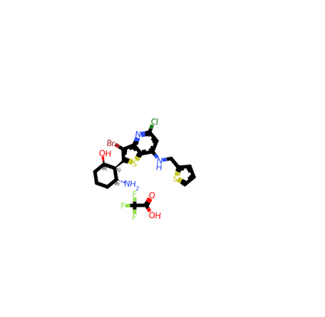 N[C@@H]1CCC[C@@H](O)[C@H]1c1sc2c(NCc3cccs3)cc(Cl)nc2c1Br.O=C(O)C(F)(F)F